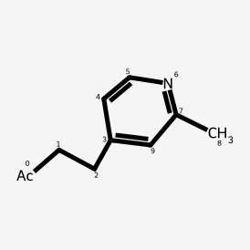 CC(=O)CCc1ccnc(C)c1